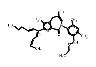 C\C=C/C=C(\C=C\CCC)c1sc2c(c1C)CC(C)=CN(c1cc(NSCC)c(C)cc1C)C2=O